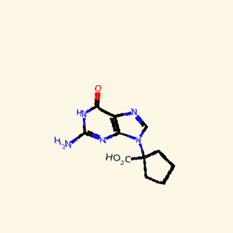 Nc1nc2c(ncn2C2(C(=O)O)CCCC2)c(=O)[nH]1